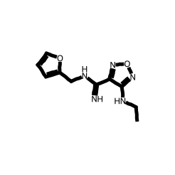 CCNc1nonc1C(=N)NCc1ccco1